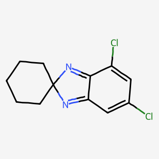 Clc1cc(Cl)c2c(c1)=NC1(CCCCC1)N=2